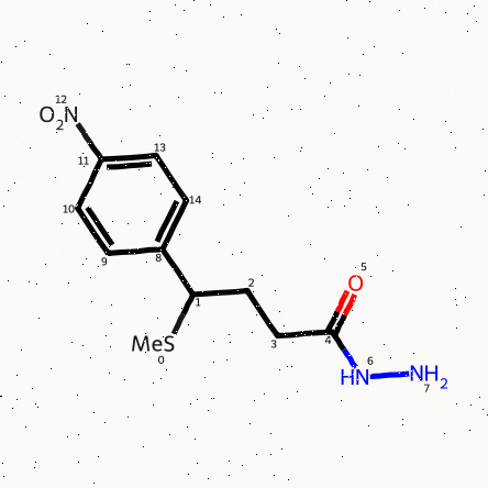 CSC(CCC(=O)NN)c1ccc([N+](=O)[O-])cc1